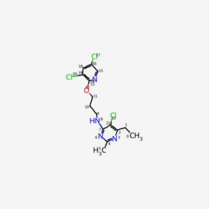 CCc1nc(C)nc(NCCCOc2ncc(Cl)cc2Cl)c1Cl